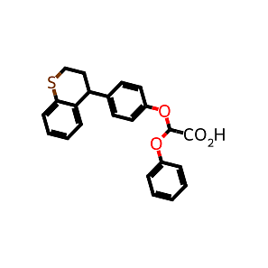 O=C(O)C(Oc1ccccc1)Oc1ccc(C2CCSc3ccccc32)cc1